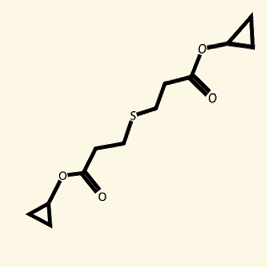 O=C(CCSCCC(=O)OC1CC1)OC1CC1